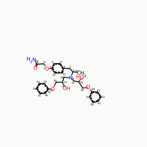 CC(Cc1ccc(OCC(N)=O)cc1)N(CC(O)COc1ccccc1)CC(O)COc1ccccc1